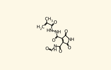 C=C(C)C(=O)NNC(=O)C1=C(C(=O)N[C]=O)C(=O)NC1=O